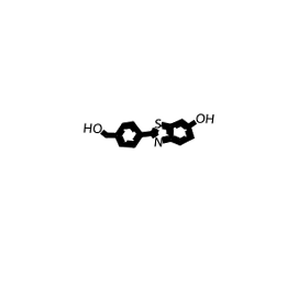 OCc1ccc(-c2nc3ccc(O)cc3s2)cc1